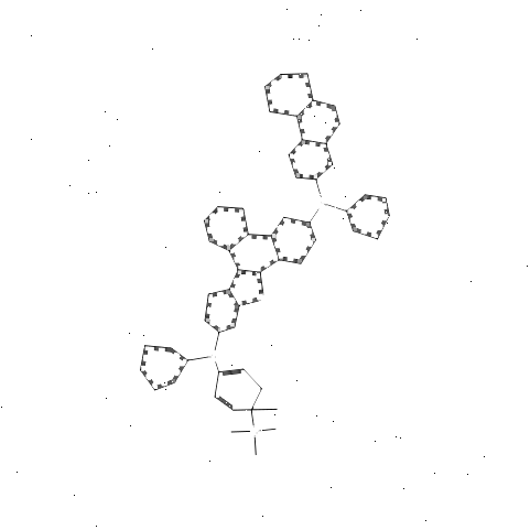 CC1([Si](C)(C)C)C=CC(N(c2ccccc2)c2ccc3c(c2)oc2c4ccc(N(c5ccccc5)c5ccc6c(ccc7ccccc76)c5)cc4c4ccccc4c32)=CC1